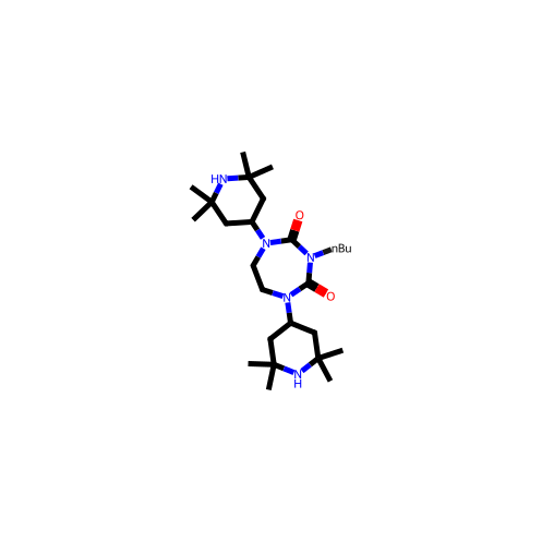 CCCCN1C(=O)N(C2CC(C)(C)NC(C)(C)C2)CCN(C2CC(C)(C)NC(C)(C)C2)C1=O